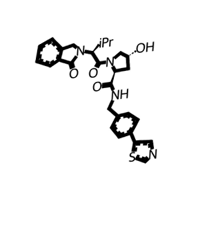 CC(C)[C@@H](C(=O)N1C[C@H](O)C[C@H]1C(=O)NCc1ccc(-c2cncs2)cc1)N1Cc2ccccc2C1=O